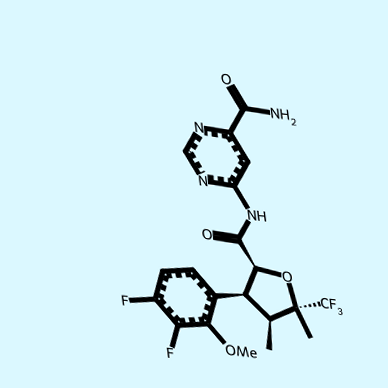 COc1c([C@H]2[C@@H](C(=O)Nc3cc(C(N)=O)ncn3)O[C@](C)(C(F)(F)F)[C@H]2C)ccc(F)c1F